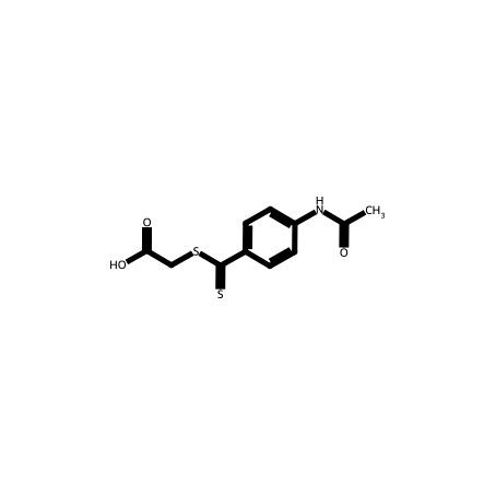 CC(=O)Nc1ccc(C(=S)SCC(=O)O)cc1